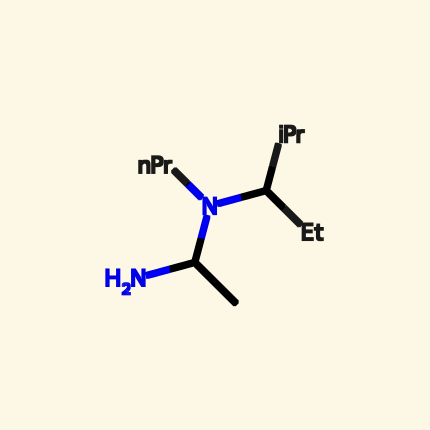 CCCN(C(C)N)C(CC)C(C)C